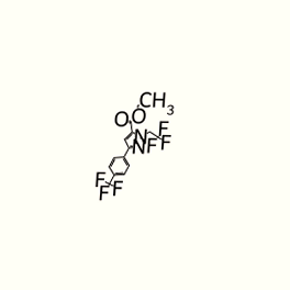 CCOC(=O)c1cc(-c2ccc(C(F)(F)F)cc2)nn1CC(F)(F)F